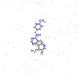 Cc1ncc(CNc2ncnc3c2sc2ncc(Cl)c(C)c23)cn1